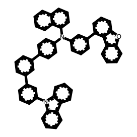 c1cc(-c2ccc(N(c3cccc(-c4cccc5oc6ccccc6c45)c3)c3cccc4ccccc34)cc2)cc(-c2cccc(-n3c4ccccc4c4ccccc43)c2)c1